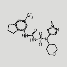 Cn1cc(N(C2CCOCC2)S(=O)(=O)NC(=O)Nc2cc(C(F)(F)F)cc3c2CCC3)cn1